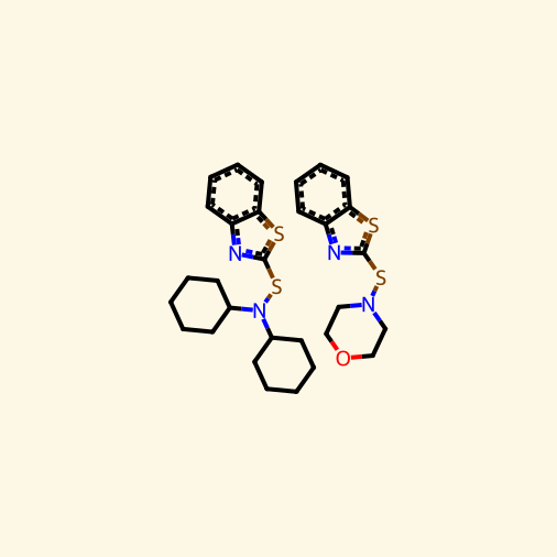 c1ccc2sc(SN(C3CCCCC3)C3CCCCC3)nc2c1.c1ccc2sc(SN3CCOCC3)nc2c1